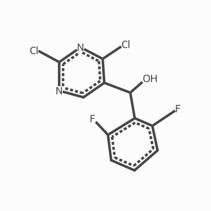 OC(c1cnc(Cl)nc1Cl)c1c(F)cccc1F